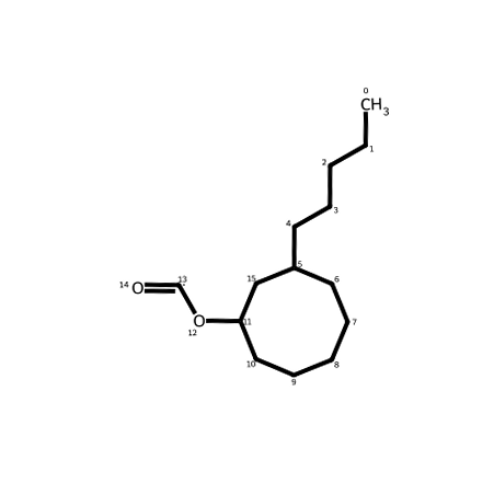 CCCCCC1CCCCCC(O[C]=O)C1